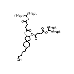 CCCCCCCC(CCCCCCC)OC(=O)CCC(=O)O[C@@H]1CC2(CCN(CCCCO)CC2)C[C@H]1OC(=O)CCC(=O)OC(CCCCCCC)CCCCCCC